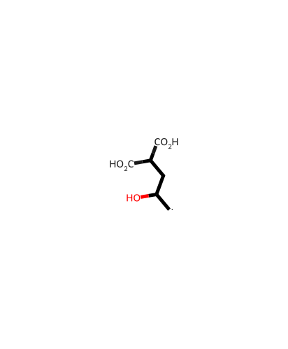 [CH2]C(O)CC(C(=O)O)C(=O)O